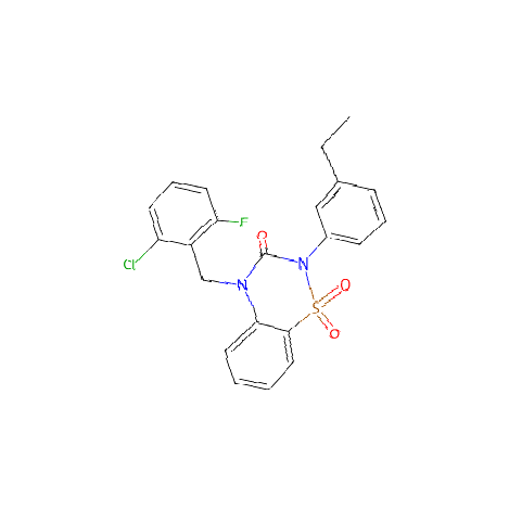 CCc1cccc(N2C(=O)N(Cc3c(F)cccc3Cl)c3ccccc3S2(=O)=O)c1